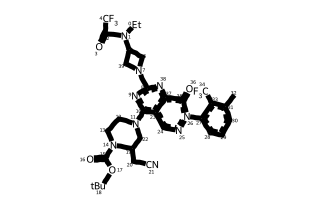 CCN(C(=O)C(F)(F)F)C1CN(c2nc(N3CCN(C(=O)OC(C)(C)C)C(CC#N)C3)c3cnn(-c4cccc(C)c4C(F)(F)F)c(=O)c3n2)C1